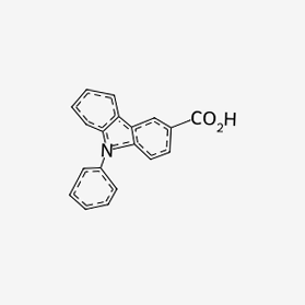 O=C(O)c1ccc2c(c1)c1ccccc1n2-c1ccccc1